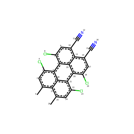 Cc1cc(Cl)c2c3c(Cl)cc(C#N)c4c(C#N)cc(Cl)c(c5c(Cl)cc(C)c1c25)c43